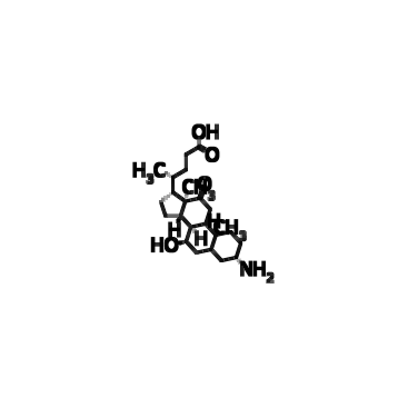 C[C@H](CCC(=O)O)[C@H]1CC[C@H]2[C@@H]3[C@H](O)CC4C[C@@H](N)CC[C@]4(C)[C@H]3CC(=O)[C@]12C